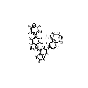 c1cn2cc(-c3ccc4c(c3)NCCOC4)nc(Nc3ccc(N4CCOCC4)cc3)c2n1